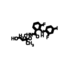 CC(C)(CCO)ONC(=O)c1cccc(F)c1Nc1ccc(I)cc1F